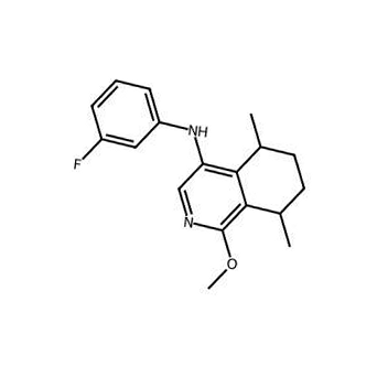 COc1ncc(Nc2cccc(F)c2)c2c1C(C)CCC2C